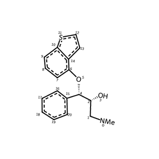 CNC[C@@H](O)[C@@H](Oc1cccc2sccc12)c1ccccc1